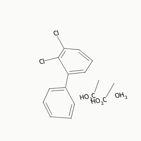 CC(=O)O.CC(=O)O.Clc1cccc(-c2ccccc2)c1Cl.O